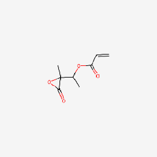 C=CC(=O)OC(C)C1(C)OC1=O